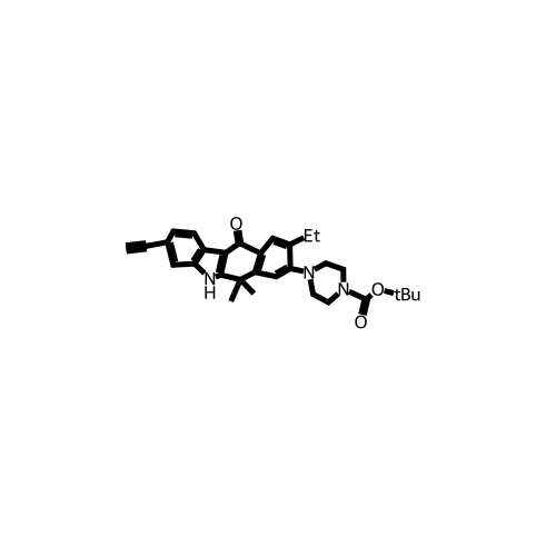 C#Cc1ccc2c3c([nH]c2c1)C(C)(C)c1cc(N2CCN(C(=O)OC(C)(C)C)CC2)c(CC)cc1C3=O